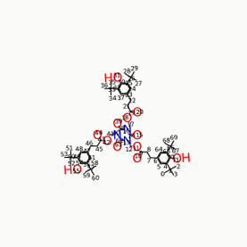 CC(C)(C)c1cc(CCC(=O)OCn2c(=O)n(COC(=O)CCc3cc(C(C)(C)C)c(O)c(C(C)(C)C)c3)c(=O)n(COC(=O)CCc3cc(C(C)(C)C)c(O)c(C(C)(C)C)c3)c2=O)cc(C(C)(C)C)c1O